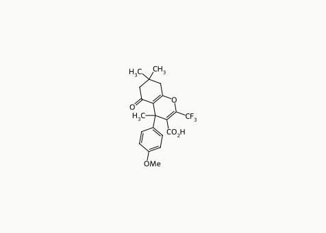 COc1ccc(C2(C)C3=C(CC(C)(C)CC3=O)OC(C(F)(F)F)=C2C(=O)O)cc1